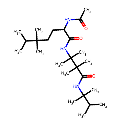 CC(=O)NC(CCC(C)(C)C(C)C)C(=O)NC(C)(C)C(C)(C)C(=O)NC(C)(C)C(C)C